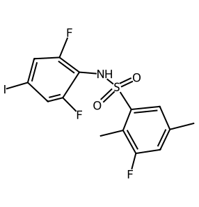 Cc1cc(F)c(C)c(S(=O)(=O)Nc2c(F)cc(I)cc2F)c1